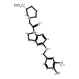 CCOC(=O)[C@@H]1CCCN(CC(=O)N2CCc3cc(OCc4ccc(C(C)C)c(C(F)(F)F)c4)ccc32)C1